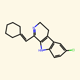 Clc1ccc2[nH]c3c(c2c1)CCN=C3C=C1CCCCC1